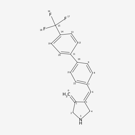 C=C1CNCC1=Cc1ccc(-c2ccc(C(F)(F)F)cc2)cc1